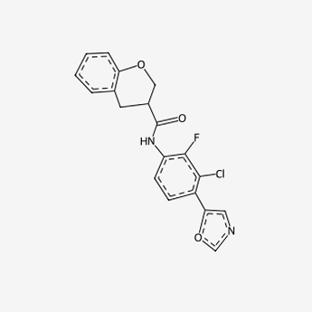 O=C(Nc1ccc(-c2cnco2)c(Cl)c1F)C1COc2ccccc2C1